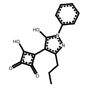 CCCc1nn(-c2ccccc2)c(O)c1-c1c(O)c(=O)c1=O